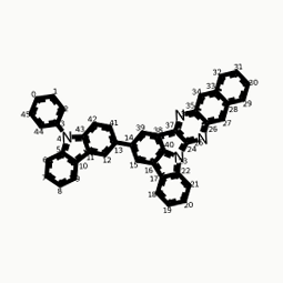 c1ccc(-n2c3ccccc3c3cc(-c4cc5c6ccccc6n6c7nc8cc9ccccc9cc8nc7c(c4)c56)ccc32)cc1